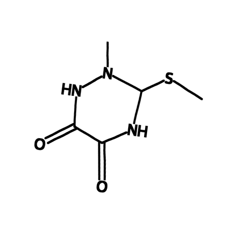 CSC1NC(=O)C(=O)NN1C